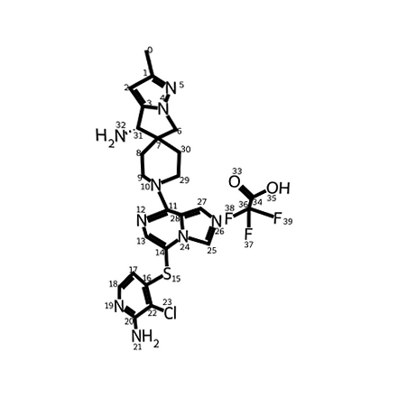 Cc1cc2n(n1)CC1(CCN(c3ncc(Sc4ccnc(N)c4Cl)n4cncc34)CC1)[C@@H]2N.O=C(O)C(F)(F)F